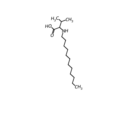 CCCCCCCCCCCCNC(C(=O)O)C(C)C